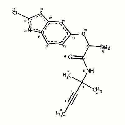 CC#CC(C)(C)NC(=O)C(Oc1ccc2nc(Cl)sc2c1)SC